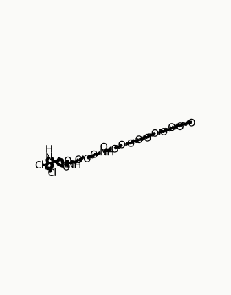 O=CCCOCCOCCOCCOCCOCCOCCOCCOCCOCCC(=O)NCCOCCOCCOCCNS(=O)(=O)c1ccc(C2CNCc3c(Cl)cc(Cl)cc32)cc1